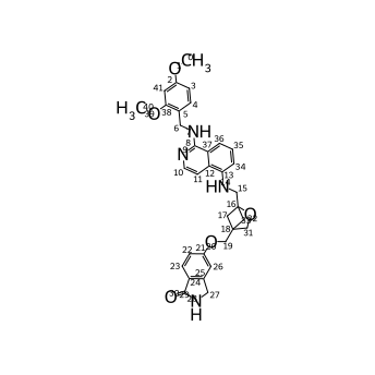 COc1ccc(CNc2nccc3c(NCC45CC(COc6ccc7c(c6)CNC7=O)(CO4)C5)cccc23)c(OC)c1